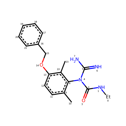 CCNC(=O)N(C(=N)N)c1c(C)ccc(OCc2ccccc2)c1C